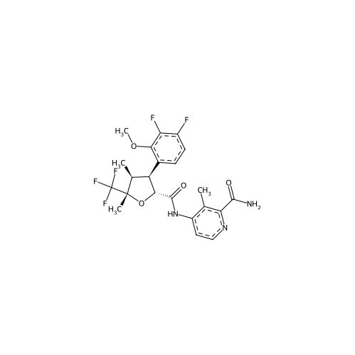 COc1c([C@H]2[C@H](C(=O)Nc3ccnc(C(N)=O)c3C)O[C@](C)(C(F)(F)F)[C@H]2C)ccc(F)c1F